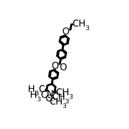 CCCOc1ccc(-c2ccc(C(=O)Oc3ccc(C4CC(C)(C)N(OC)C(C)(C)C4)cc3)cc2)cc1